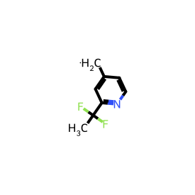 [CH2]c1ccnc(C(C)(F)F)c1